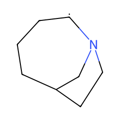 [CH]1CCCC2CCN1C2